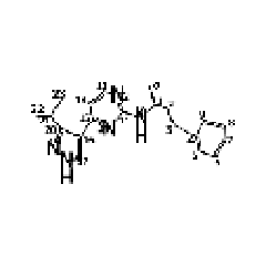 CC(CCc1ccccc1)Nc1nccc(-c2c[nH]nc2C(C)C)n1